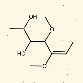 C/C=C(/OC)C(OC)C(O)C(C)O